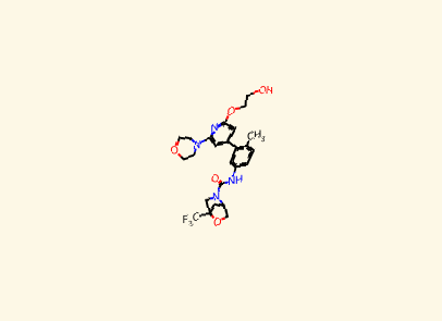 Cc1ccc(NC(=O)N2CC3(C(F)(F)F)CC2CO3)cc1-c1cc(OCCO)nc(N2CCOCC2)c1